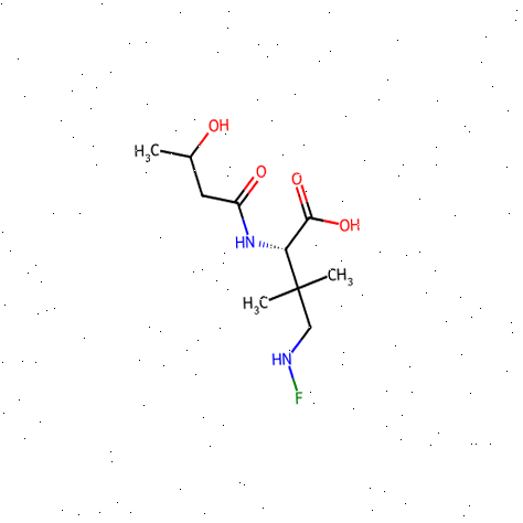 CC(O)CC(=O)N[C@H](C(=O)O)C(C)(C)CNF